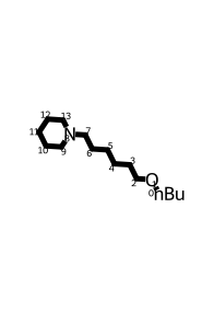 CCCCOCCCCCCN1CCCCC1